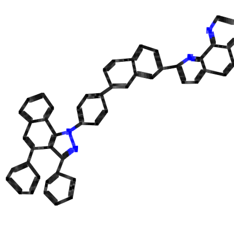 c1ccc(-c2cc3ccccc3c3c2c(-c2ccccc2)nn3-c2ccc(-c3ccc4ccc(-c5ccc6ccc7cccnc7c6n5)cc4c3)cc2)cc1